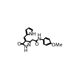 COc1ccc(NC(=O)CC2=NNC(=O)/C2=C/c2ccc[nH]2)cc1